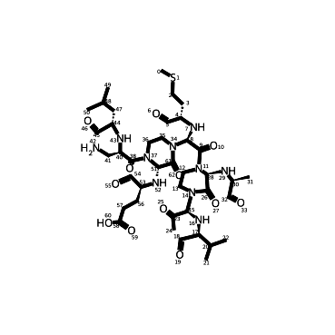 CSCC[C@@H](C=O)N[C@@H](C(=O)N1CCN([C@@H](N[C@H](C=O)C(C)C)C(C)=O)C(=O)[C@@H]1N[C@@H](C)C=O)N1CCN(C(=O)[C@@H](CN)N[C@H](C=O)CC(C)C)[C@@H](N[C@H](C=O)CCC(=O)O)C1=O